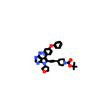 CC(C)(C)OC(=O)N1CCC(C#Cc2c(-c3ccc(Oc4ccccc4)cc3)c3c(N)ncnc3n2[C@H]2CCOC2)CC1